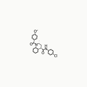 COc1ccc(C(=O)N2c3ccccc3[C@H](C(=O)Nc3ccc(Cl)cc3)C[C@H]2C)cc1